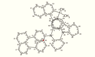 CC1(C)c2ccc(N(c3ccc(-c4cccc5cccc(-c6ccccc6)c45)cc3)c3ccccc3-n3c4ccccc4c4ccccc43)cc2-c2c1ccc1ccccc21